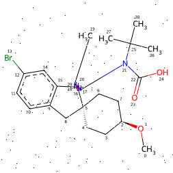 CO[C@H]1CC[C@]2(CC1)Cc1ccc(Br)cc1C21N=C(C)C(N(C(=O)O)C(C)(C)C)=N1